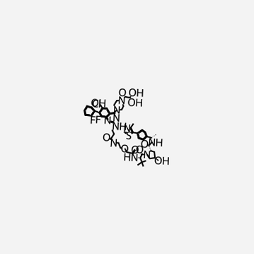 Cc1ncsc1-c1ccc([C@H](C)NC(=O)[C@@H]2C[C@@H](O)CN2C(=O)[C@@H](NC(=O)COCCN(C)C(=O)CCNc2nc(N3CCN(C(=O)C(O)O)CC3)c3cc(Cl)c(-c4c(O)cccc4F)c(F)c3n2)C(C)(C)C)cc1